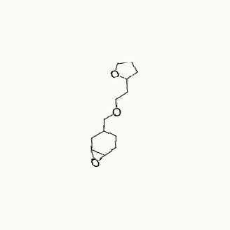 C1COC(CCOCC2CCC3OC3C2)C1